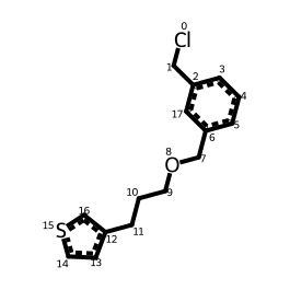 ClCc1cccc(COCCCc2ccsc2)c1